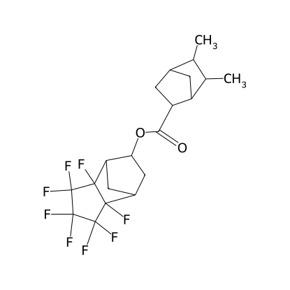 CC1C2CC(C(=O)OC3CC4CC3C3(F)C(F)(F)C(F)(F)C(F)(F)C43F)C(C2)C1C